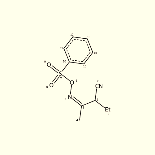 CCC(C#N)C(C)=NOS(=O)(=O)c1ccccc1